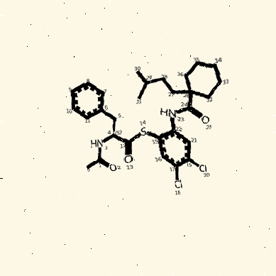 CC(=O)N[C@@H](Cc1ccccc1)C(=O)Sc1cc(Cl)c(Cl)cc1NC(=O)C1(CCC(C)C)CCCCC1